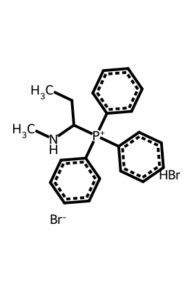 Br.CCC(NC)[P+](c1ccccc1)(c1ccccc1)c1ccccc1.[Br-]